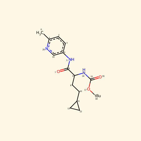 Cc1ccc(NC(=O)C(CCC2CC2)NC(=O)OC(C)(C)C)cn1